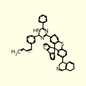 C=C/C=C\c1cccc(C2N=C(c3ccc4c(c3)C3(c5cc(C6CN=CC7=C6C=CCC7)ccc5S4)c4ccccc4-c4ccccc43)N=C(c3ccccc3)N2)c1